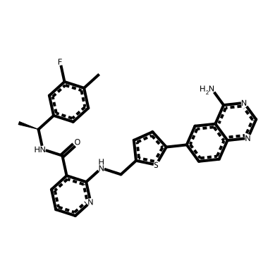 Cc1ccc([C@H](C)NC(=O)c2cccnc2NCc2ccc(-c3ccc4ncnc(N)c4c3)s2)cc1F